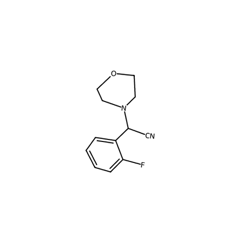 N#CC(c1ccccc1F)N1CCOCC1